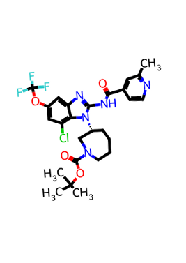 Cc1cc(C(=O)Nc2nc3cc(OC(F)(F)F)cc(Cl)c3n2[C@@H]2CCCCN(C(=O)OC(C)(C)C)C2)ccn1